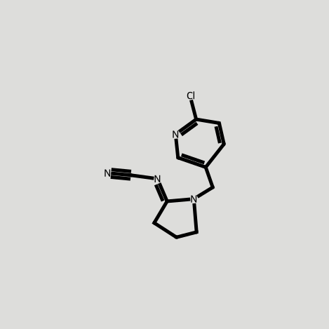 N#CN=C1CCCN1Cc1ccc(Cl)nc1